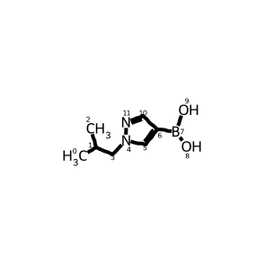 CC(C)Cn1cc(B(O)O)cn1